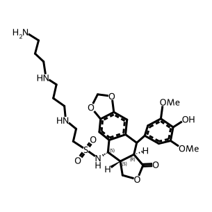 COc1cc(C2c3cc4c(cc3[C@@H](NS(=O)(=O)CCNCCCNCCCN)[C@H]3COC(=O)[C@H]23)OCO4)cc(OC)c1O